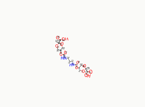 CC1(C(=O)O)OCC(OC(=O)NCCCNC(=O)OC2COC(C)(C(=O)O)OC2)CO1